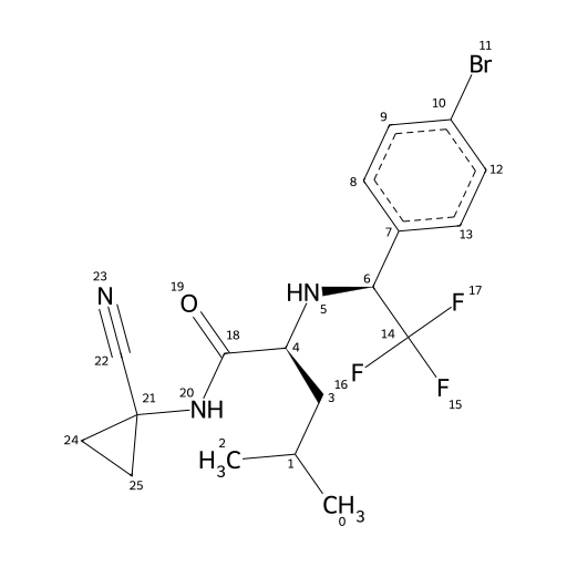 CC(C)C[C@H](N[C@@H](c1ccc(Br)cc1)C(F)(F)F)C(=O)NC1(C#N)CC1